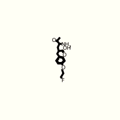 CC(=O)C(N)CC(Cc1ccc(OCCCF)cc1)C(=O)O